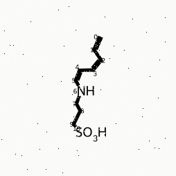 C=C/C=C\C=C/NCCCS(=O)(=O)O